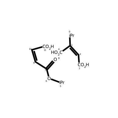 CC(C)/C(=C/C(=O)O)C(=O)O.CC(C)OC(=O)/C=C\C(=O)O